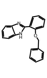 c1ccc(COc2ccccc2-c2nc3ccccc3[nH]2)cc1